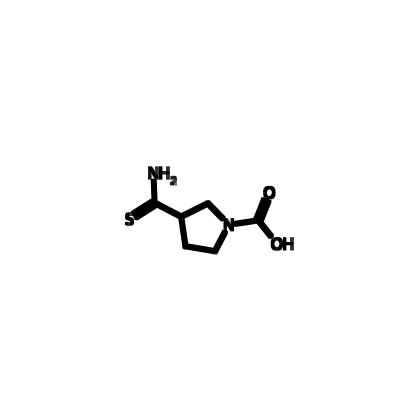 NC(=S)C1CCN(C(=O)O)C1